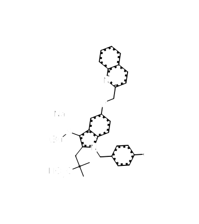 CC(C)(C)Sc1c(CC(C)(C)C(=O)O)n(Cc2ccc(Cl)cc2)c2ccc(OCc3ccc4ccccc4n3)cc12.[Na]